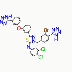 Clc1ccc(N=c2sc(-c3cccc(Oc4cccc(-c5nnn[nH]5)c4)c3)nn2Cc2ccc(-c3nnn[nH]3)c(Br)c2)cc1Cl